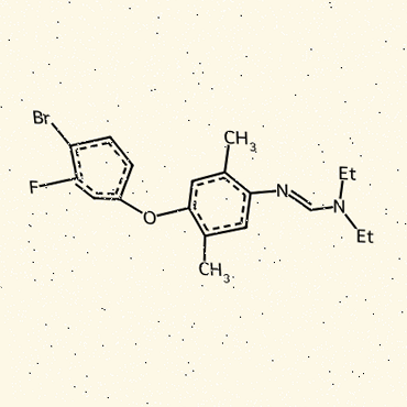 CCN(/C=N/c1cc(C)c(Oc2ccc(Br)c(F)c2)cc1C)CC